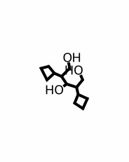 OCC(C1CCC1)C(O)C(CO)C1CCC1